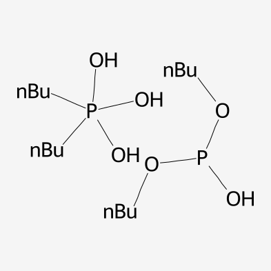 CCCCOP(O)OCCCC.CCCCP(O)(O)(O)CCCC